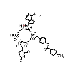 Cc1ccc(C(=O)Oc2ccc(CS[P@]3(=O)OC[C@H]4O[C@@H](C5C=CC(=O)NC5=O)[C@H](F)[C@@H]4OP(=O)(O)OC[C@H]4O[C@@H](n5cnc6c(N)ncnc65)[C@H](O3)[C@@H]4F)cc2)cc1